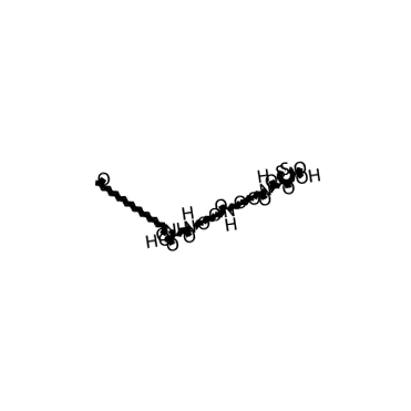 CC(=O)CCCCCCCCCCCCCCCCC(=O)N[C@@H](CCC(=O)NCCOCCOCC(=O)NCCOCCOCC(=O)NCC(=O)C[C@H]1CSSC[C@@H](C(=O)O)CC1=O)C(=O)O